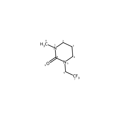 CN1CCCN(CC(F)(F)F)C1=O